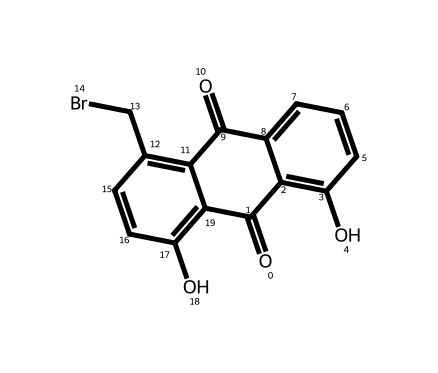 O=C1c2c(O)cccc2C(=O)c2c(CBr)ccc(O)c21